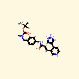 CCCC(C)(C)OC(=O)N(C)Cc1ccc(NC(=O)/C=C/c2cnccc2-c2cn[nH]c2)cc1